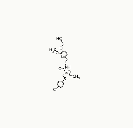 C#CCOc1ccc(CCNC(=O)[C@@H](CSc2ccc(Cl)cc2)OCC)cc1OC